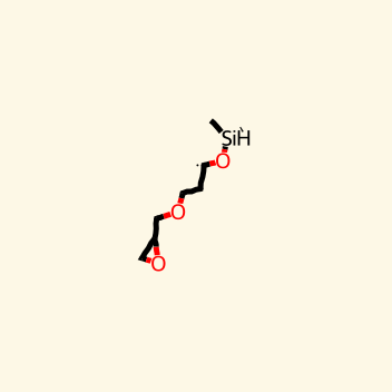 C[SiH](C)O[CH]CCOCC1CO1